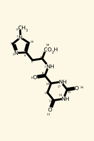 Cn1cnc(CC(NC(=O)C2CC(=O)NC(=O)N2)C(=O)O)c1